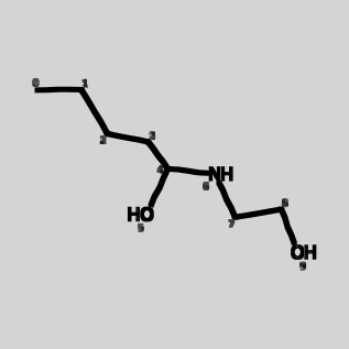 CCCCC(O)NCCO